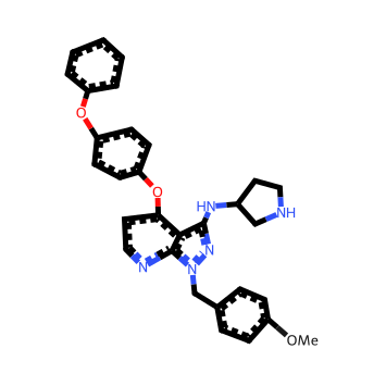 COc1ccc(Cn2nc(NC3CCNC3)c3c(Oc4ccc(Oc5ccccc5)cc4)ccnc32)cc1